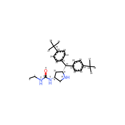 CCNC(=O)N[C@H]1CN[C@@H](C(c2ccc(C(C)(C)C)cc2)c2ccc(C(C)(C)C)cc2)C1